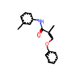 CC(=COc1ccccc1)C(=O)Nc1cccc(C)c1